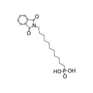 O=C1c2ccccc2C(=O)N1CCCCCCCCCCCP(=O)(O)O